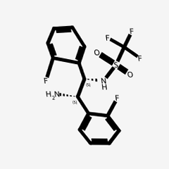 N[C@@H](c1ccccc1F)[C@@H](NS(=O)(=O)C(F)(F)F)c1ccccc1F